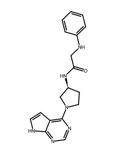 O=C(CNc1ccccc1)N[C@H]1CCN(c2ncnc3[nH]ccc23)C1